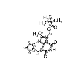 Cc1nc2c(c(=O)[nH]c(=O)n2Cc2ccco2)n1COC(=O)C(C)(C)C